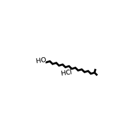 CC(C)CCCCCCCCCCCCCCCO.Cl